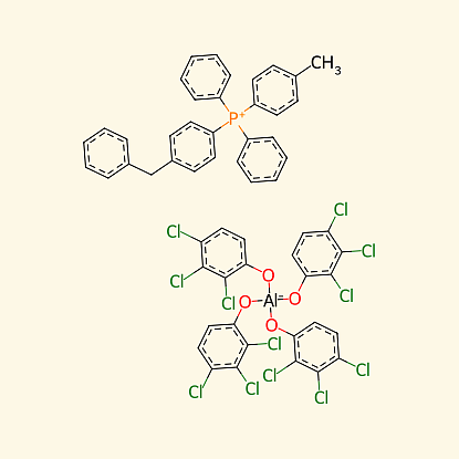 Cc1ccc([P+](c2ccccc2)(c2ccccc2)c2ccc(Cc3ccccc3)cc2)cc1.Clc1ccc([O][Al-]([O]c2ccc(Cl)c(Cl)c2Cl)([O]c2ccc(Cl)c(Cl)c2Cl)[O]c2ccc(Cl)c(Cl)c2Cl)c(Cl)c1Cl